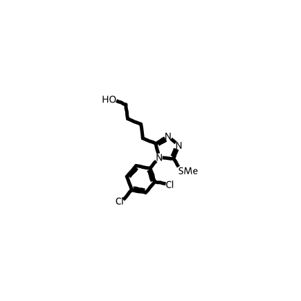 CSc1nnc(CCCCO)n1-c1ccc(Cl)cc1Cl